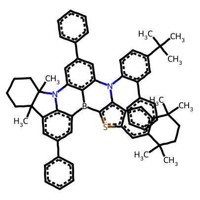 CC(C)(C)c1ccc(N2c3cc(-c4ccccc4)cc4c3B(c3cc(-c5ccccc5)cc5c3N4C3(C)CCCCC53C)c3sc4cc5c(cc4c32)C(C)(C)CCC5(C)C)c(-c2ccccc2)c1